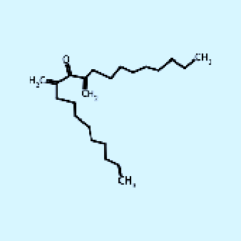 C=C(CCCCCCCCC)C(=O)C(=C)CCCCCCCCC